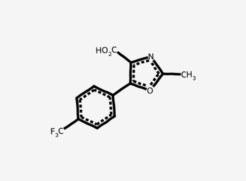 Cc1nc(C(=O)O)c(-c2ccc(C(F)(F)F)cc2)o1